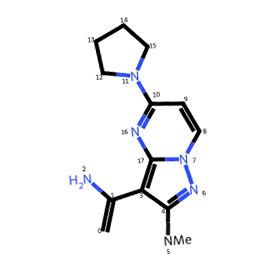 C=C(N)c1c(NC)nn2ccc(N3CCCC3)nc12